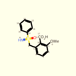 COc1cccc(CS(=N)(=O)c2ccccc2)c1C(=O)O